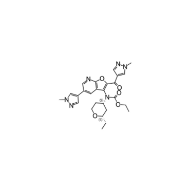 CCOC(=O)N(c1c(C(=O)c2cnn(C)c2)oc2ncc(-c3cnn(C)c3)cc12)[C@H]1CCO[C@@H](CC)C1